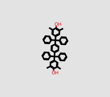 Cc1cc(C(c2ccccc2)(c2ccccc2)c2ccc(C(c3ccccc3)(c3ccccc3)c3cc(C)c(O)c(C)c3)cc2)cc(C)c1O